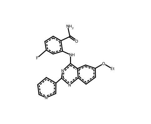 CCOc1ccc2nc(-c3cccnc3)nc(Nc3cc(F)ccc3C(N)=O)c2c1